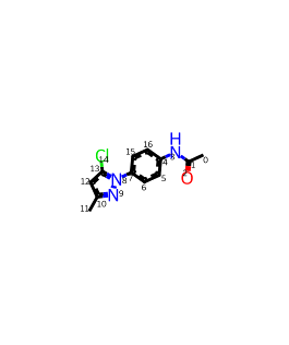 CC(=O)Nc1ccc(-n2nc(C)cc2Cl)cc1